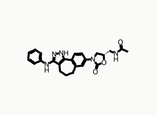 CC(=O)NC[C@H]1CN(c2ccc3c(c2)CCCc2c(Nc4ccccc4)n[nH]c2-3)C(=O)O1